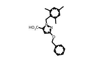 Cc1cc(C)c(Cn2nc(OCc3ccccc3)cc2C(=O)O)c(C)c1